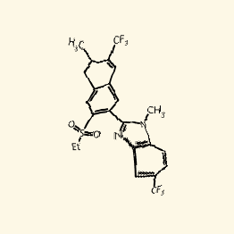 CCS(=O)(=O)c1cc2c(cc1-c1nc3cc(C(F)(F)F)ccc3n1C)C=C(C(F)(F)F)C(C)C2